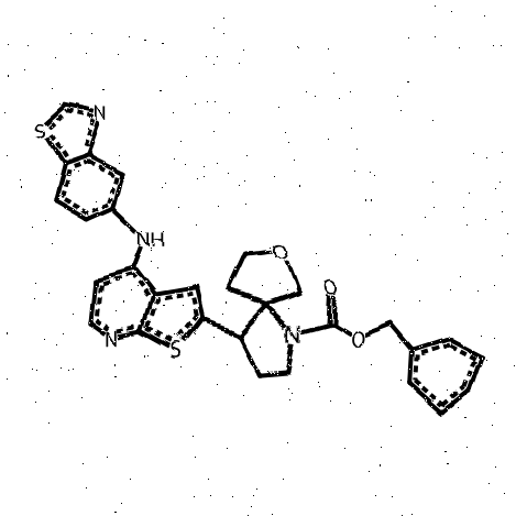 O=C(OCc1ccccc1)N1CCC(c2cc3c(Nc4ccc5scnc5c4)ccnc3s2)C12CCOC2